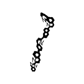 c1ccc2nc(-c3ccc4cc(-c5ccc6nc(-c7ccc8cc(-c9ccc%10ccc%11cccnc%11c%10n9)ccc8c7)ccc6c5)ccc4n3)ncc2c1